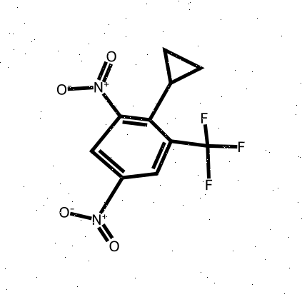 O=[N+]([O-])c1cc([N+](=O)[O-])c(C2CC2)c(C(F)(F)F)c1